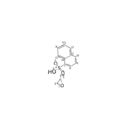 C1CO1.O=S(=O)(O)c1cccc2ccccc12